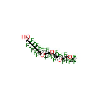 OCC(F)(F)C(F)(F)C(F)(F)C(F)(F)C(F)(F)OC(F)(F)C(F)(F)OC(F)(F)C(F)(F)OC(F)(F)C(F)(F)OC(F)(F)F